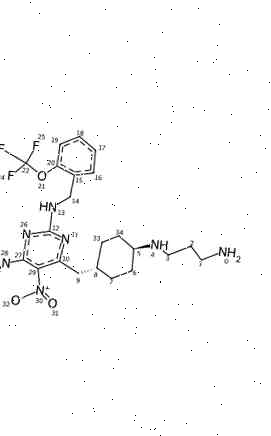 NCCCN[C@H]1CC[C@H](Cc2nc(NCc3ccccc3OC(F)(F)F)nc(N)c2[N+](=O)[O-])CC1